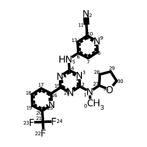 CN(c1nc(Nc2ccnc(C#N)c2)nc(-c2cccc(C(F)(F)F)n2)n1)C1CCCO1